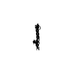 CCC(C)n1ncn(-c2ccc(N3CCN(c4ccc(OC[C@@H]5CO[C@@](Cn6cccn6)(c6ccc(C#N)cc6)O5)cc4)CC3)cc2)c1=O